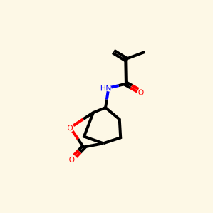 C=C(C)C(=O)NC1CCC2CC1OC2=O